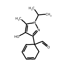 Cc1c(O)c(C2(C=O)C=CC=CC2)nn1C(C)C